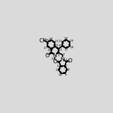 Cn1c(CN2C(=O)c3ccccc3C2=O)c(-c2ccccc2)c2ccc(Cl)cc2c1=O